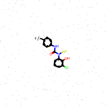 O=C(Nc1ccc(C(F)(F)F)cc1)N(S)c1cccc(Cl)c1O